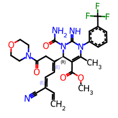 C=C/C(C#N)=C\C=C(/CC(=O)N1CCOCC1)[C@@H]1C(C(=O)OC)=C(C)N(c2cccc(C(F)(F)F)c2)C(=N)N1C(N)=O